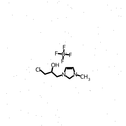 CN1C=CN(CC(O)CCl)C1.F[B-](F)(F)F